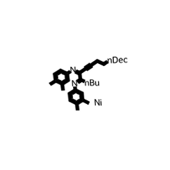 CCCCCCCCCCCCC#CC(=Nc1ccc(C)c(C)c1)C(CCCC)=Nc1ccc(C)c(C)c1.[Ni]